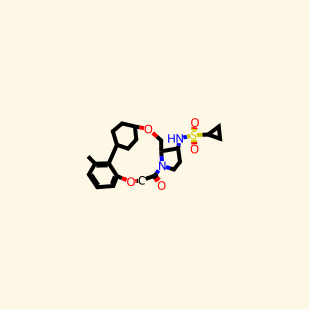 Cc1cccc2c1C1CCC(CC1)OCC1C(NS(=O)(=O)C3CC3)CCN1C(=O)CO2